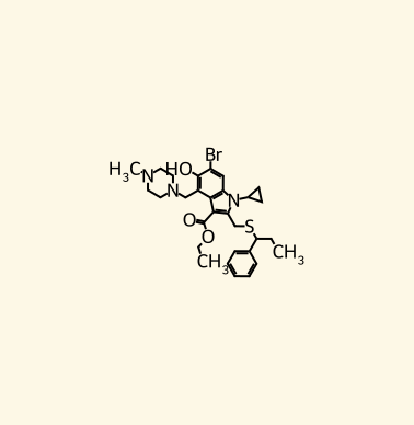 CCOC(=O)c1c(CSC(CC)c2ccccc2)n(C2CC2)c2cc(Br)c(O)c(CN3CCN(C)CC3)c12